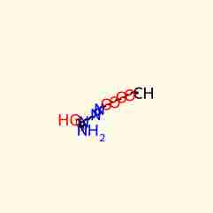 C#CCOCCOCCOCCOCCN1CCN(CCCCN2C[C@@H](N)C[C@H]2CO)CC1